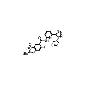 CC(=O)OCC(C)n1nnnc1-c1cccc(NC(=O)c2cc3c(cc2F)CN(C(C)(C)C)S3(=O)=O)n1